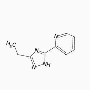 CCc1n[nH]c(-c2ccccn2)n1